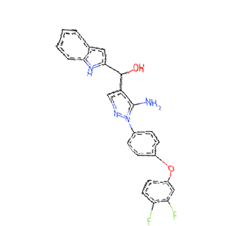 Nc1c(C(O)c2cc3ccccc3[nH]2)cnn1-c1ccc(Oc2ccc(F)c(F)c2)cc1